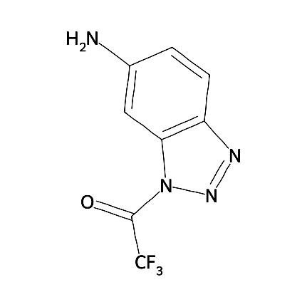 Nc1ccc2nnn(C(=O)C(F)(F)F)c2c1